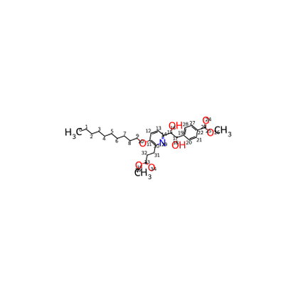 CCCCCCCCCCOc1ccc([C@H](O)[C@@H](O)c2ccc(C(=O)OC)cc2)nc1CCC(=O)OC